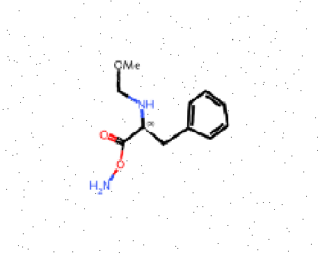 COCN[C@@H](Cc1ccccc1)C(=O)ON